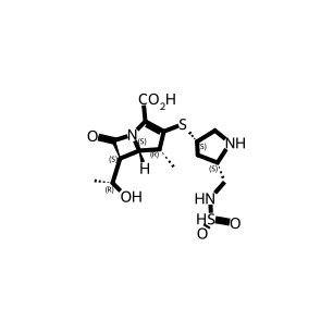 C[C@@H](O)[C@H]1C(=O)N2C(C(=O)O)=C(S[C@@H]3CN[C@H](CN[SH](=O)=O)C3)[C@H](C)[C@H]12